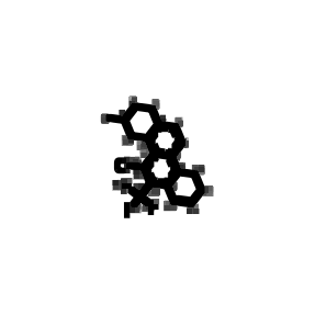 CC1CCc2ccc3c4c(c(C(F)(F)F)c(Cl)c3c2C1)C=CCC4